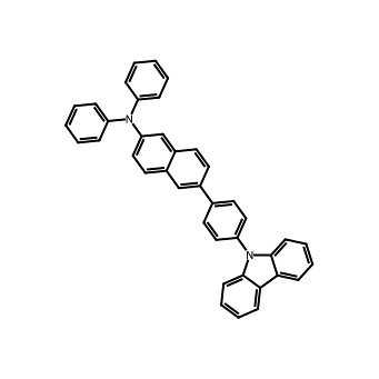 c1ccc(N(c2ccccc2)c2ccc3cc(-c4ccc(-n5c6ccccc6c6ccccc65)cc4)ccc3c2)cc1